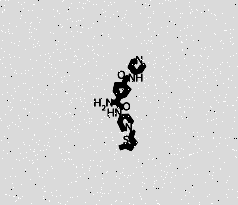 Cc1ccc(CN2CCC(NC(=O)C(N)c3ccc(C(=O)Nc4ccncc4)cc3)CC2)s1